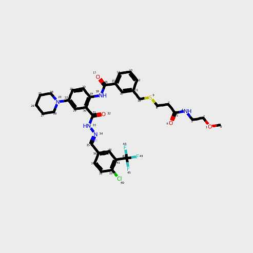 COCCNC(=O)CCSCc1cccc(C(=O)Nc2ccc(N3CCCCC3)cc2C(=O)N/N=C/c2ccc(Cl)c(C(F)(F)F)c2)c1